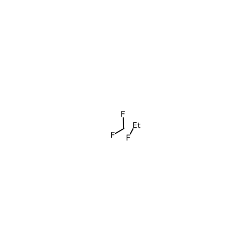 CCF.FCF